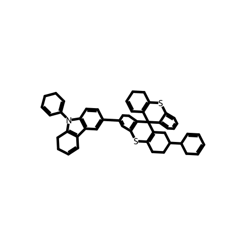 C1=CCC(C2CCC3=C(C2)C2(C4=C(CCC=C4)Sc4ccccc42)C2=C(C=C(c4ccc5c(c4)c4c(n5C5=CCCC=C5)CCC=C4)CC2)S3)C=C1